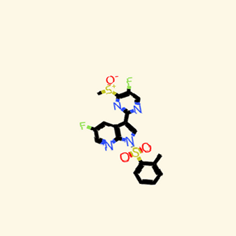 Cc1ccccc1S(=O)(=O)n1cc(-c2ncc(F)c([S+](C)[O-])n2)c2cc(F)cnc21